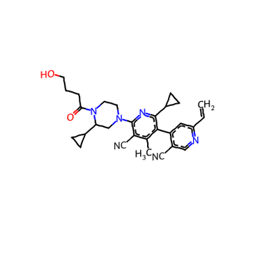 C=Cc1cc(-c2c(C3CC3)nc(N3CCN(C(=O)CCCO)C(C4CC4)C3)c(C#N)c2C)c(C#N)cn1